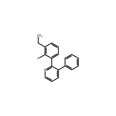 CCc1cccc(-c2ncccc2-c2ccccc2)c1F